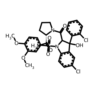 COc1ccc(S(=O)(=O)N2c3ccc(Cl)cc3C(O)(c3ccccc3Cl)C2C(=O)N2CCC[C@H]2C(N)=O)cc1OC